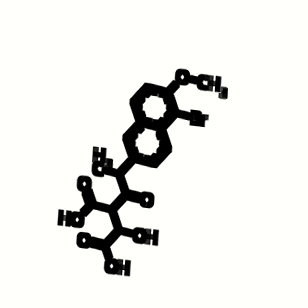 COc1ccc2cc(C(C)C(=O)C(C(=O)O)C(O)C(=O)O)ccc2c1Br